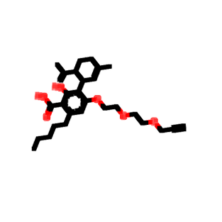 C#CCOCCOCCOc1cc(CCCCC)c(C(=O)O)c(O)c1C1C=C(C)CCC1C(=C)C